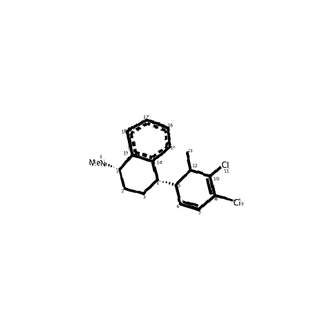 CN[C@H]1CC[C@@H](C2C=CC(Cl)=C(Cl)C2C)c2ccccc21